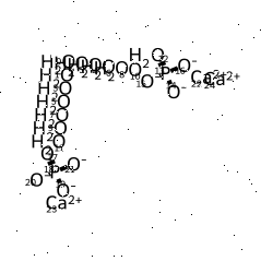 O.O.O.O.O.O.O.O.O.O.O.O.O=P([O-])([O-])[O-].O=P([O-])([O-])[O-].[Ca+2].[Ca+2].[Ca+2]